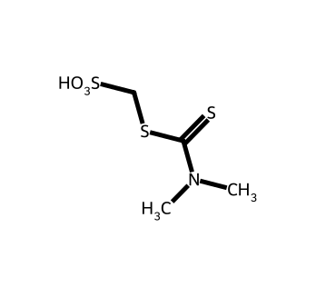 CN(C)C(=S)SCS(=O)(=O)O